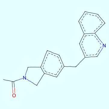 CC(=O)N1Cc2ccc(Cc3cnc4ccccc4c3)cc2C1